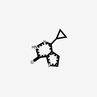 O=c1[nH]nc(C2CC2)c2ccsc12